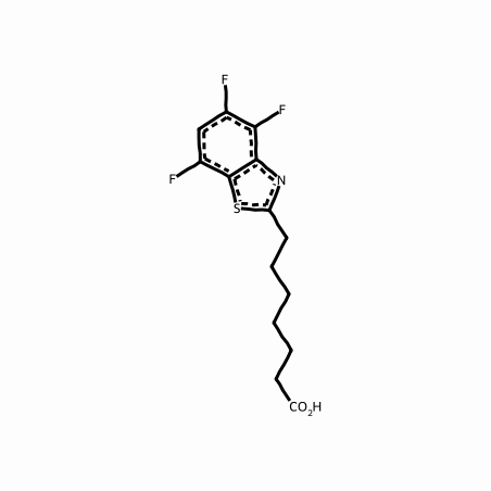 O=C(O)CCCCCCc1nc2c(F)c(F)cc(F)c2s1